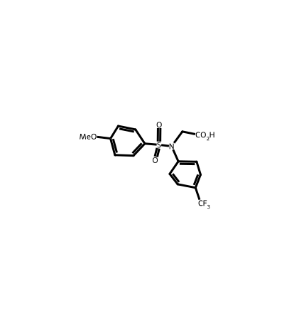 COc1ccc(S(=O)(=O)N(CC(=O)O)c2ccc(C(F)(F)F)cc2)cc1